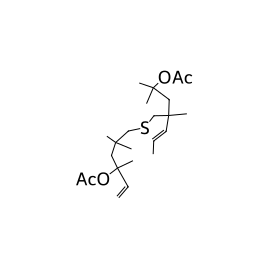 C=CC(C)(CC(C)(C)CSCC(C)(C=CC)CC(C)(C)OC(C)=O)OC(C)=O